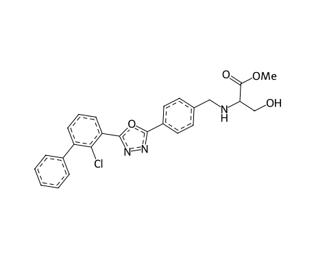 COC(=O)C(CO)NCc1ccc(-c2nnc(-c3cccc(-c4ccccc4)c3Cl)o2)cc1